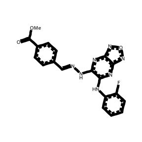 COC(=O)c1ccc(C=NNc2nc3nonc3nc2Nc2ccccc2F)cc1